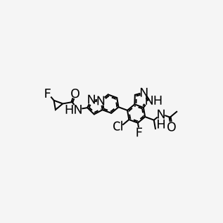 CC(=O)NC(C)c1c(F)c(Cl)c(-c2ccn3nc(NC(=O)C4CC4F)cc3c2)c2cn[nH]c12